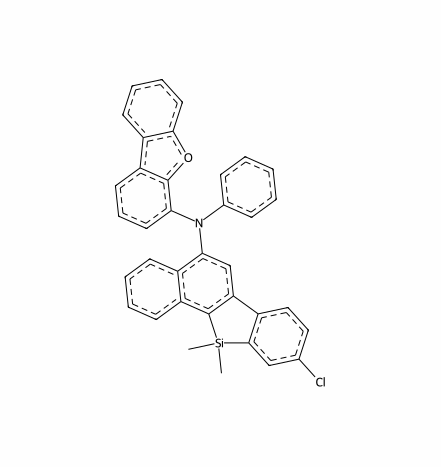 C[Si]1(C)c2cc(Cl)ccc2-c2cc(N(c3ccccc3)c3cccc4c3oc3ccccc34)c3ccccc3c21